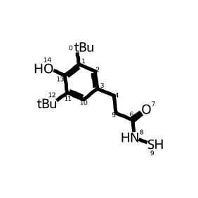 CC(C)(C)c1cc(CCC(=O)NS)cc(C(C)(C)C)c1O